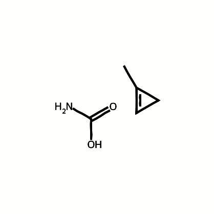 CC1=CC1.NC(=O)O